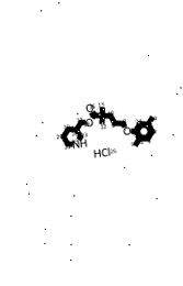 Cc1ccc(C)c(OCCCC(C)(C)C(=O)OCC2CCCNC2)c1.Cl